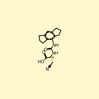 N#CC[C@@H](NC(=O)Nc1c2c(cc3c1CCC3)CCC2)C(=O)O